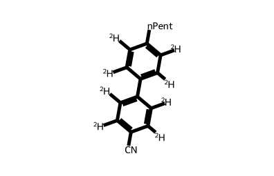 [2H]c1c([2H])c(-c2c([2H])c([2H])c(CCCCC)c([2H])c2[2H])c([2H])c([2H])c1C#N